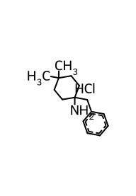 CC1(C)CCC(N)(Cc2ccccc2)CC1.Cl